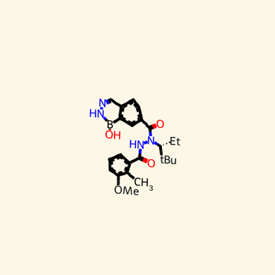 CC[C@@H](N(NC(=O)c1cccc(OC)c1C)C(=O)c1ccc2c(c1)B(O)NN=C2)C(C)(C)C